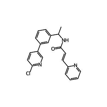 CC(NC(=O)C=Cc1ccccn1)c1cccc(-c2ccc(Cl)nc2)c1